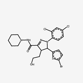 O=C(NN1CCCCC1)C1=NN(c2ccc(Cl)cc2Cl)C(c2ccc(Br)s2)C1CCO